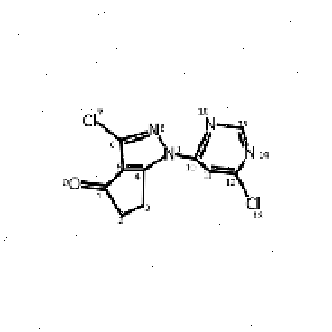 O=C1CCc2c1c(Cl)nn2-c1cc(Cl)ncn1